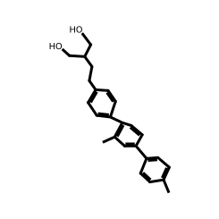 Cc1ccc(-c2ccc(-c3ccc(CCC(CO)CO)cc3)c(C)c2)cc1